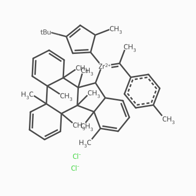 CC1=CC=CC2[CH](/[Zr+2]([C]3=CC(C(C)(C)C)=CC3C)=[C](/C)c3ccc(C)cc3)C3(C)C4(C)C=CC=CC4(C)C4(C)C=CC=CC4(C)C3(C)C12C.[Cl-].[Cl-]